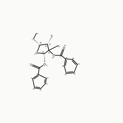 CC[C@H]1O[C@@H](OC(=O)c2ccccc2)C(C)(OC(=O)c2ccccc2)[C@H]1C